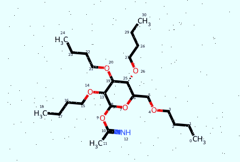 CCCCOCC1OC(OC(C)=N)C(OCCCC)C(OCCCC)[C@@H]1OCCCC